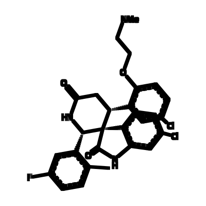 CNCCOc1ccc(Cl)cc1[C@H]1CC(=O)N[C@@H](c2cc(F)ccc2C)[C@]12C(=O)Nc1cc(Cl)ccc12